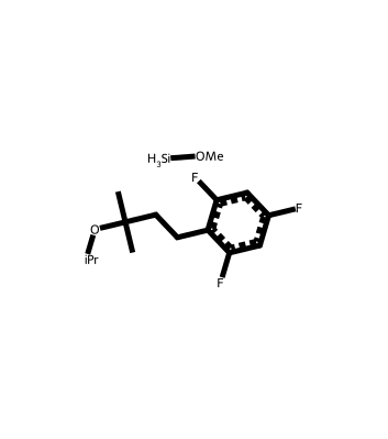 CC(C)OC(C)(C)CCc1c(F)cc(F)cc1F.CO[SiH3]